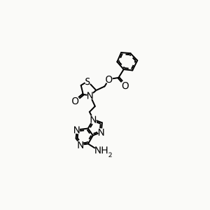 Nc1ncnc2c1ncn2CCN1C(=O)CSC1COC(=O)c1ccccc1